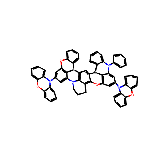 c1ccc(N2c3ccccc3B3c4cc5c6c(c4Oc4cc(N7c8ccccc8Oc8ccccc87)cc2c43)CCCN6c2cc(N3c4ccccc4Oc4ccccc43)cc3c2B5c2ccccc2O3)cc1